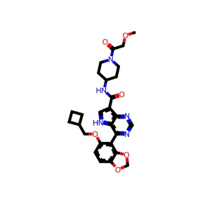 COCC(=O)N1CCC(NC(=O)c2c[nH]c3c(-c4c(OCC5CCC5)ccc5c4OCO5)ncnc23)CC1